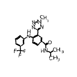 CC(C)NC(=O)c1ccc(Nc2cccc(C(F)(F)F)c2)c(-c2nnn(C)n2)c1